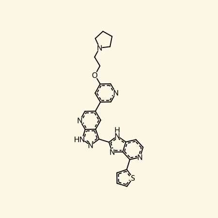 c1csc(-c2nccc3[nH]c(-c4n[nH]c5ncc(-c6cncc(OCCN7CCCC7)c6)cc45)nc23)c1